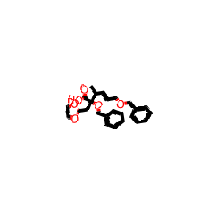 CC(/C=C/COCc1ccccc1)C(CC1OCCO1)(OCc1ccccc1)C(=O)O